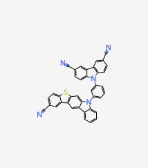 N#Cc1ccc2sc3cc4c(cc3c2c1)c1ccccc1n4-c1cccc(-n2c3ccc(C#N)cc3c3cc(C#N)ccc32)c1